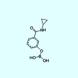 O=C(NC1CC1)c1cccc(OB(O)O)c1